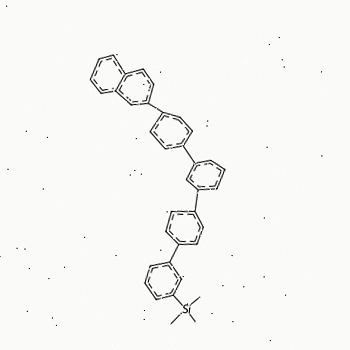 C[Si](C)(C)c1cccc(-c2ccc(-c3cccc(-c4ccc(-c5ccc6ccccc6c5)cc4)c3)cc2)c1